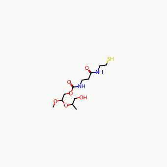 COC(COC(=O)NCCC(=O)NCCS)OC(C)CO